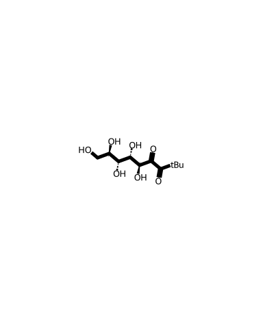 CC(C)(C)C(=O)C(=O)[C@@H](O)[C@@H](O)[C@H](O)[C@H](O)CO